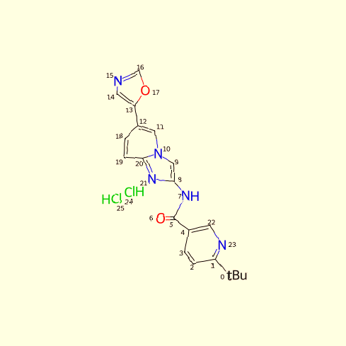 CC(C)(C)c1ccc(C(=O)Nc2cn3cc(-c4cnco4)ccc3n2)cn1.Cl.Cl